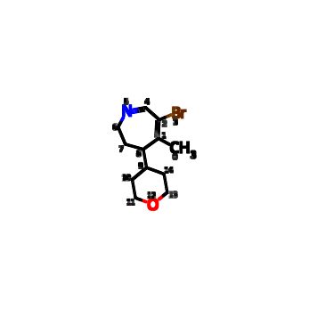 CC1=C(Br)C=NCCC1C1CCOCC1